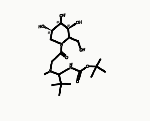 CN(CC(=O)N1C[C@H](O)[C@@H](O)[C@@H](O)C1CO)C(NC(=O)OC(C)(C)C)C(C)(C)C